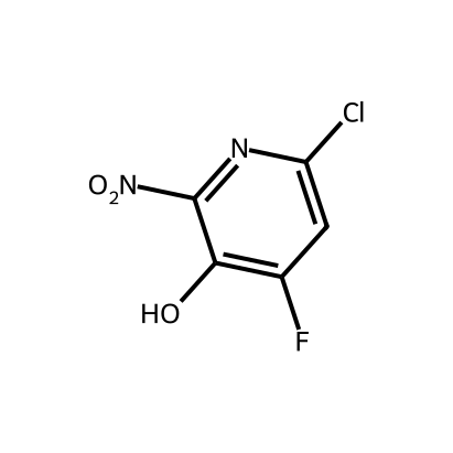 O=[N+]([O-])c1nc(Cl)cc(F)c1O